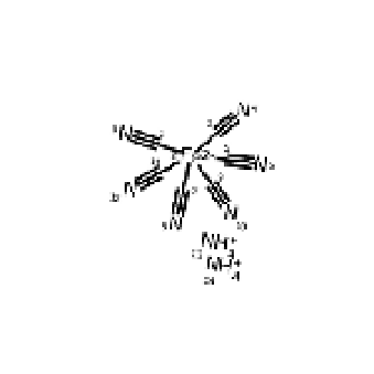 N#[C][Fe-2]([C]#N)([C]#N)([C]#N)([C]#N)[C]#N.[NH4+].[NH4+]